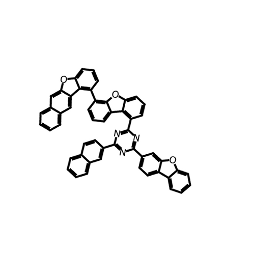 c1ccc2cc(-c3nc(-c4ccc5c(c4)oc4ccccc45)nc(-c4cccc5oc6c(-c7cccc8oc9cc%10ccccc%10cc9c78)cccc6c45)n3)ccc2c1